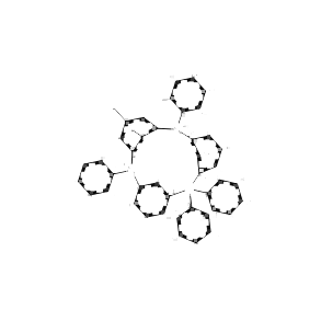 Cc1cc2c(Cl)c(c1)N(c1ccccc1)c1cccc(c1)S(c1ccccc1)(c1ccccc1)c1cccc(c1)N2c1ccccc1